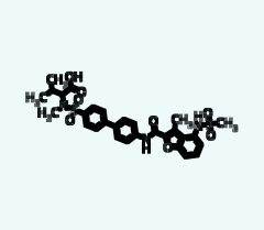 Cc1c(C(=O)Nc2ccc(-c3ccc(S(=O)(=O)N(C)C(C(=O)O)C(C)C)cc3)cc2)oc2cccc(NS(C)(=O)=O)c12